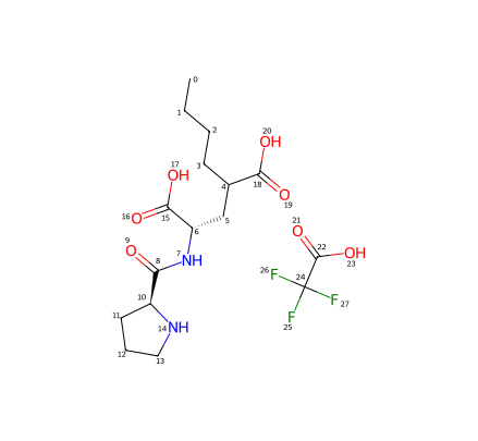 CCCCC(C[C@H](NC(=O)[C@@H]1CCCN1)C(=O)O)C(=O)O.O=C(O)C(F)(F)F